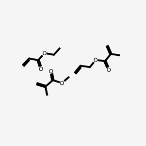 C=C(C)C(=O)OC.C=CC(=O)OCC.C=CCOC(=O)C(=C)C